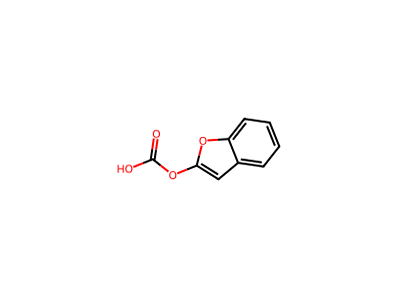 O=C(O)Oc1cc2ccccc2o1